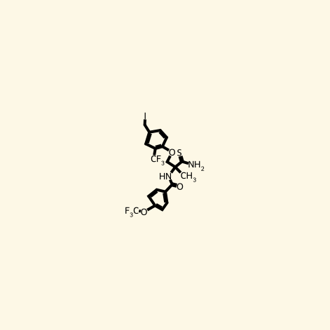 CC(COc1ccc(CI)cc1C(F)(F)F)(NC(=O)c1ccc(OC(F)(F)F)cc1)C(N)=S